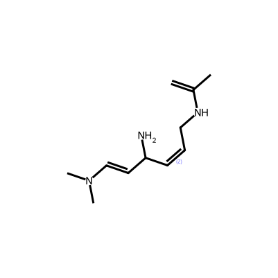 C=C(C)NC/C=C\C(N)C=CN(C)C